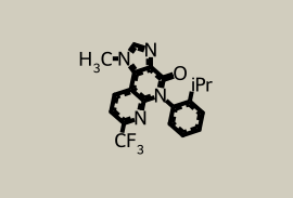 CC(C)c1ccccc1-n1c(=O)c2ncn(C)c2c2ccc(C(F)(F)F)nc21